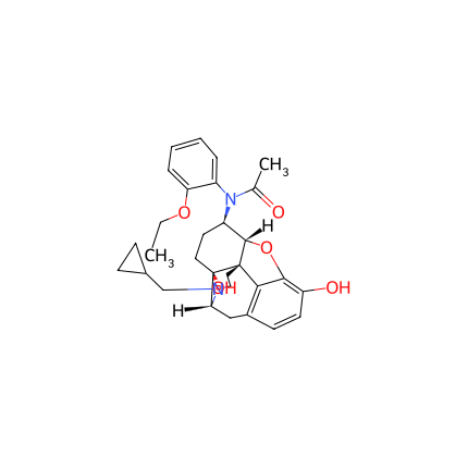 CCOc1ccccc1N(C(C)=O)[C@@H]1CC[C@@]2(O)[C@H]3Cc4ccc(O)c5c4[C@@]2(CCN3CC2CC2)[C@H]1O5